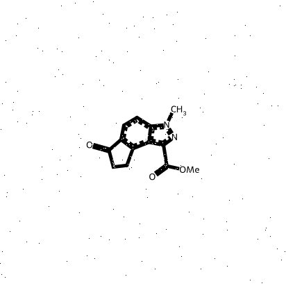 COC(=O)c1nn(C)c2ccc3c(c12)CCC3=O